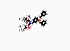 CC(O)[C@@H](C)OC(=O)[C@H](Cc1ccc(OCc2ccccc2)c(OCc2ccccc2)c1)NC(=O)OC(C)(C)C